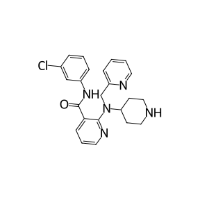 O=C(Nc1cccc(Cl)c1)c1cccnc1N(Cc1ccccn1)C1CCNCC1